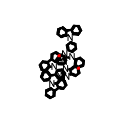 c1ccc(-n2c3ccccc3n3c4ccc5c6ccccc6n(-c6ccccc6-c6ccccc6-n6c7ccccc7c7ccc8c(nc9n(-c%10ccccc%10)c%10ccc(-n%11c%12ccccc%12c%12ccccc%12%11)cc%10n89)c76)c5c4nc23)cc1